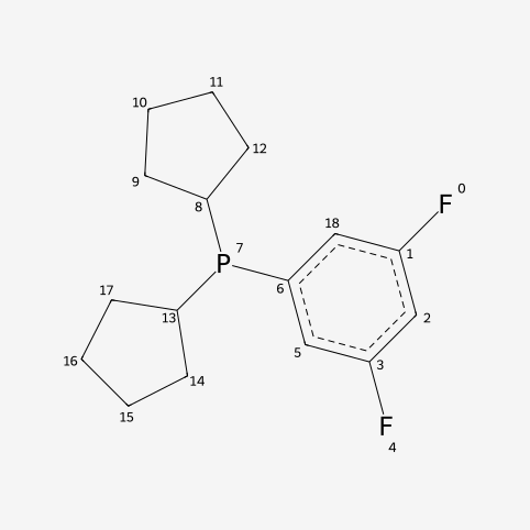 Fc1cc(F)cc(P(C2CCCC2)C2CCCC2)c1